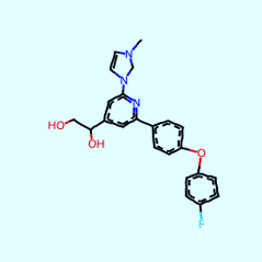 CN1C=CN(c2cc(C(O)CO)cc(-c3ccc(Oc4ccc(F)cc4)cc3)n2)C1